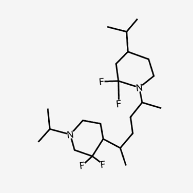 CC(C)C1CCN(C(C)CCC(C)C2CCN(C(C)C)CC2(F)F)C(F)(F)C1